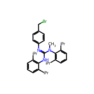 CC(C)c1cccc(C(C)C)c1NC(=Nc1ccc(CBr)cc1)N(C)c1c(C(C)C)cccc1C(C)C